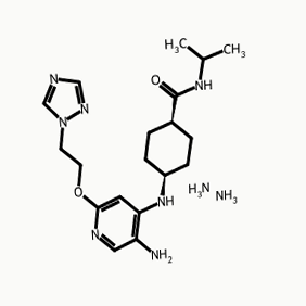 CC(C)NC(=O)[C@H]1CC[C@@H](Nc2cc(OCCn3cncn3)ncc2N)CC1.N.N